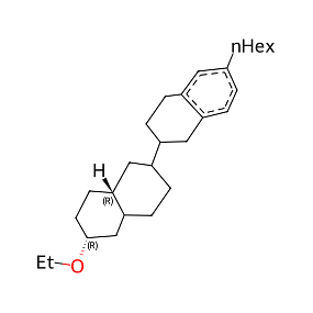 CCCCCCc1ccc2c(c1)CCC(C1CCC3C[C@H](OCC)CC[C@@H]3C1)C2